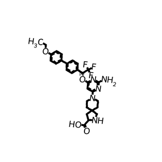 CCOc1ccc(-c2ccc([C@@H](Oc3cc(N4CCC5(CC4)CNC(C(=O)O)C5)nc(N)n3)C(F)(F)F)cc2)cc1